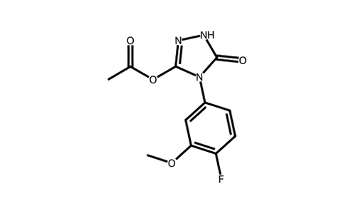 COc1cc(-n2c(OC(C)=O)n[nH]c2=O)ccc1F